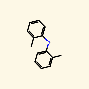 Cc1ccccc1[N]c1ccccc1C